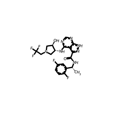 C[C@@H](NC(=O)c1n[nH]c2ncnc(N[C@@H]3CN(CC(F)(F)F)C[C@H]3O)c12)c1cc(F)ccc1F